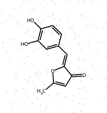 CC1=CC(=O)C(=Cc2ccc(O)c(O)c2)O1